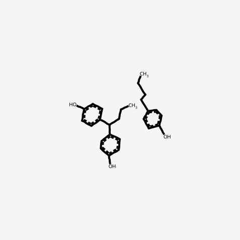 CCCC(c1ccc(O)cc1)c1ccc(O)cc1.CCCCc1ccc(O)cc1